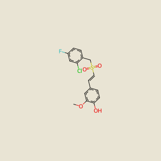 COc1cc(C=CS(=O)(=O)Cc2ccc(F)cc2Cl)ccc1O